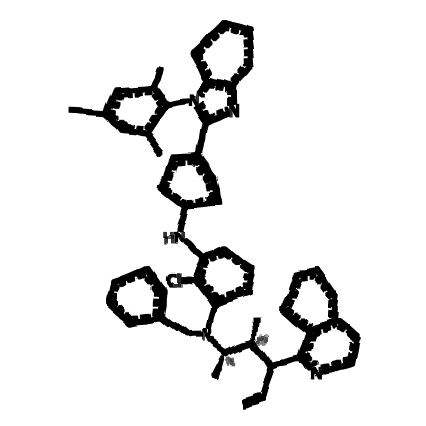 C=CC(c1nccc2ccccc12)[C@H](C)[C@@H](C)N(Cc1ccccc1)c1cccc(Nc2ccc(-c3nc4ccccc4n3-c3c(C)cc(C)cc3C)cc2)c1Cl